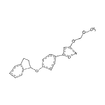 COCOc1cc(-c2ccc(OC3CCc4ccccc43)cc2)on1